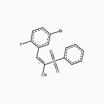 N#C/C(=C/c1cc(Br)ccc1F)S(=O)(=O)c1ccccc1